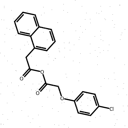 O=C(COc1ccc(Cl)cc1)OC(=O)Cc1cccc2ccccc12